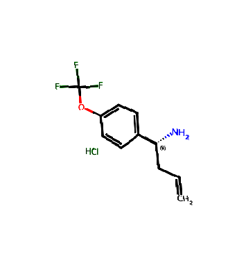 C=CC[C@@H](N)c1ccc(OC(F)(F)F)cc1.Cl